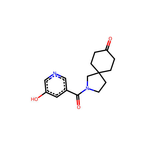 O=C1CCC2(CC1)CCN(C(=O)c1cncc(O)c1)C2